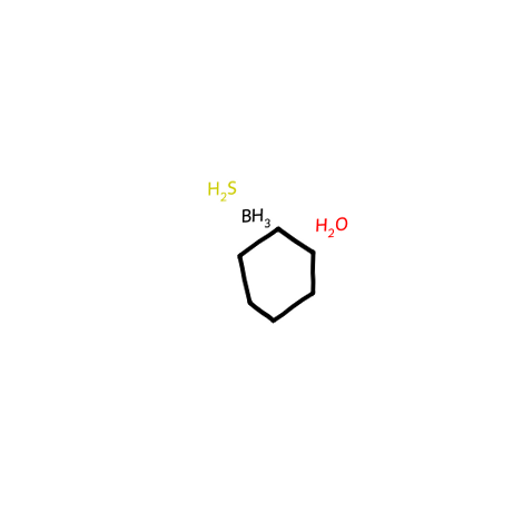 B.C1CCCCC1.O.S